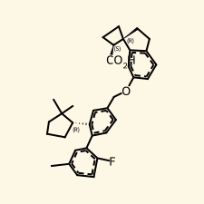 Cc1ccc(F)c(-c2ccc(COc3ccc4c(c3)[C@@]3(CC4)CC[C@@H]3C(=O)O)cc2[C@@H]2CCCC2(C)C)c1